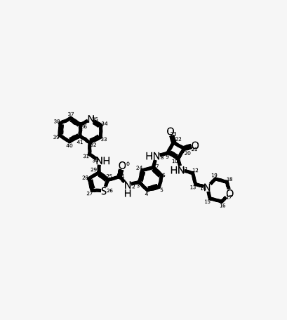 O=C(Nc1cccc(Nc2c(NCCN3CCOCC3)c(=O)c2=O)c1)c1sccc1NCc1ccnc2ccccc12